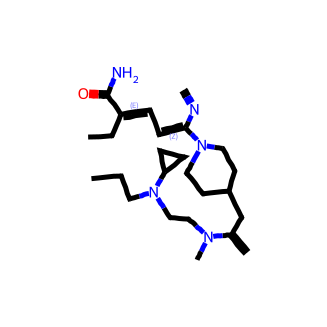 C=N/C(=C\C=C(/CC)C(N)=O)N1CCC(CC(=C)N(C)CCN(CCC)C2CC2)CC1